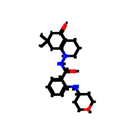 CC1(C)CC(=O)C2=C(C1)N(NC(=O)c1ccccc1NC1CCOCC1)CCC2